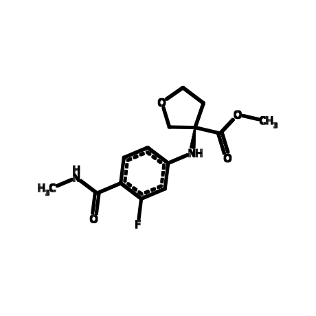 CNC(=O)c1ccc(N[C@]2(C(=O)OC)CCOC2)cc1F